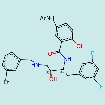 CCc1cccc(CNC[C@H](O)[C@@H](Cc2cc(F)cc(F)c2)NC(=O)c2cc(NC(C)=O)ccc2O)c1